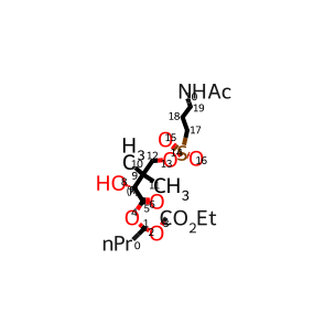 CCCC(OC(=O)OCC)OC(=O)[C@H](O)C(C)(C)COS(=O)(=O)CCCNC(C)=O